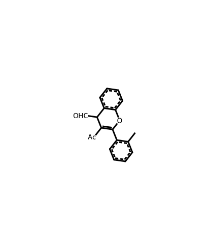 CC(=O)C1=C(c2ccccc2C)Oc2ccccc2C1C=O